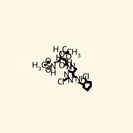 CC1(C)O[C@@H]2[C@H](O1)[C@@H](CNS(C)(=O)=O)O[C@H]2n1ncc2c(NCc3ccccc3Cl)nc(Cl)nc21